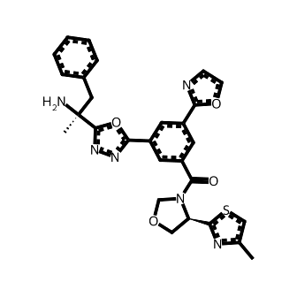 Cc1csc([C@H]2COCN2C(=O)c2cc(-c3ncco3)cc(-c3nnc([C@@](C)(N)Cc4ccccc4)o3)c2)n1